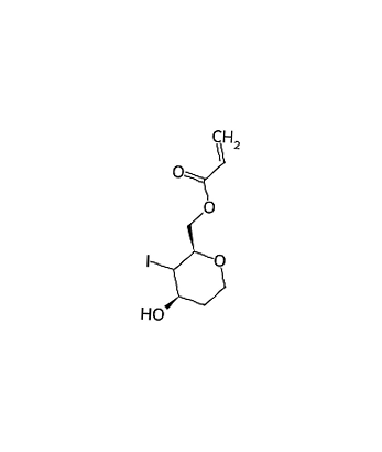 C=CC(=O)OC[C@H]1OCC[C@@H](O)C1I